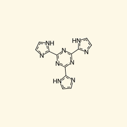 c1c[nH]c(-c2nc(-c3ncc[nH]3)nc(-c3ncc[nH]3)n2)n1